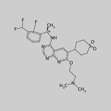 C[C@@H](Nc1ncnc2nc(OCCN(C)C)c(C3CCS(=O)(=O)CC3)cc12)c1cccc(C(F)F)c1F